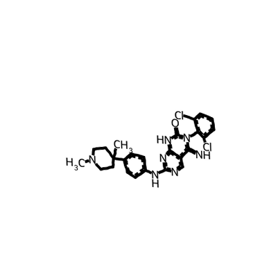 CN1CCC(C)(c2ccc(Nc3ncc4c(=N)n(-c5c(Cl)cccc5Cl)c(=O)[nH]c4n3)cc2)CC1